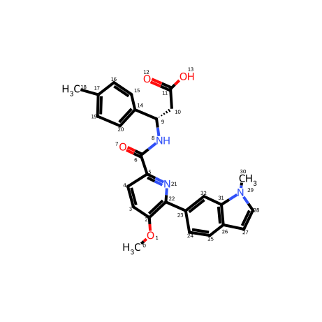 COc1ccc(C(=O)N[C@@H](CC(=O)O)c2ccc(C)cc2)nc1-c1ccc2ccn(C)c2c1